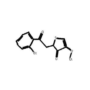 CCOC1=CSC(CC(=O)c2ccccc2CC)C1=O